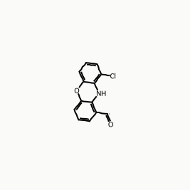 O=[C]c1cccc2c1Nc1c(Cl)cccc1O2